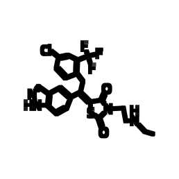 CCNCCN1C(=O)S/C(=C(/Cc2ccc(Cl)cc2C(F)(F)F)c2ccc3[nH]ncc3c2)C1=O